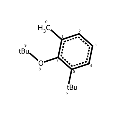 Cc1cccc(C(C)(C)C)c1OC(C)(C)C